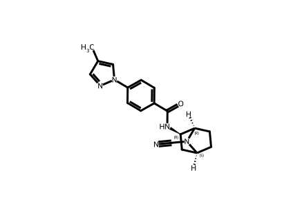 Cc1cnn(-c2ccc(C(=O)N[C@@H]3C[C@@H]4CC[C@H]3N4C#N)cc2)c1